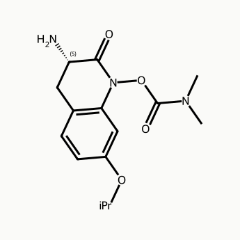 CC(C)Oc1ccc2c(c1)N(OC(=O)N(C)C)C(=O)[C@@H](N)C2